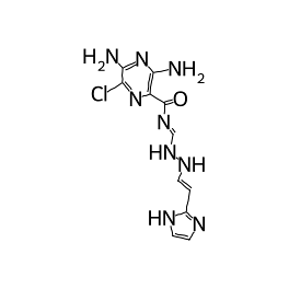 Nc1nc(N)c(C(=O)N=CNNC=Cc2ncc[nH]2)nc1Cl